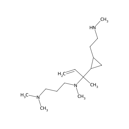 C=CC(C)(C1CC1CCNC)N(C)CCCN(C)C